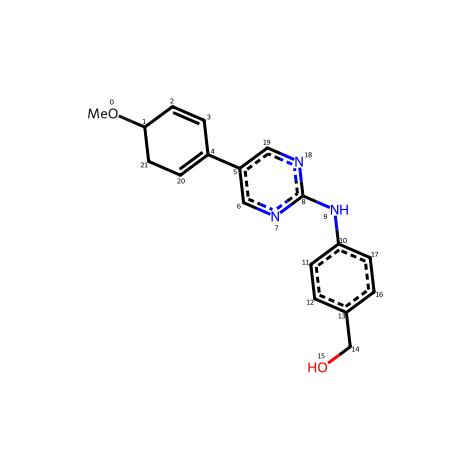 COC1C=CC(c2cnc(Nc3ccc(CO)cc3)nc2)=CC1